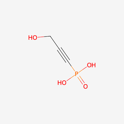 O=P(O)(O)C#CCO